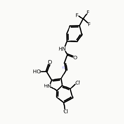 O=C(/C=C/c1c(C(=O)O)[nH]c2cc(Cl)cc(Cl)c12)Nc1ccc(C(F)(F)F)cc1